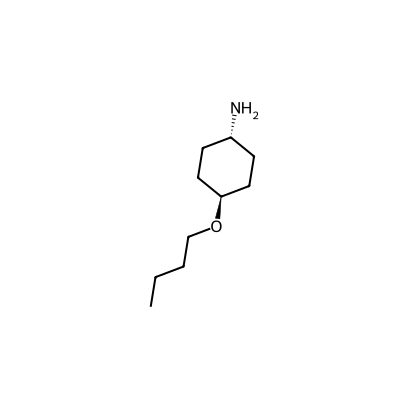 CCCCO[C@H]1CC[C@H](N)CC1